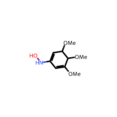 COC1=CC(NO)=CC(OC)C1OC